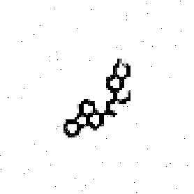 C=C(/C=C(\C=C/C)c1ccc2cnccc2c1)c1ccc2c3c(cccc13)-c1ccccc1-2